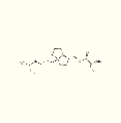 CC(C)OCCCC12CCCN1[C@H](COC(=O)N(C)C)CC2